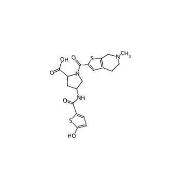 CN1CCc2cc(C(=O)N3CC(NC(=O)c4ccc(O)s4)CC3C(=O)O)sc2C1